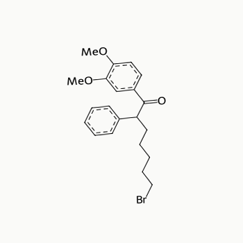 COc1ccc(C(=O)C(CCCCCBr)c2ccccc2)cc1OC